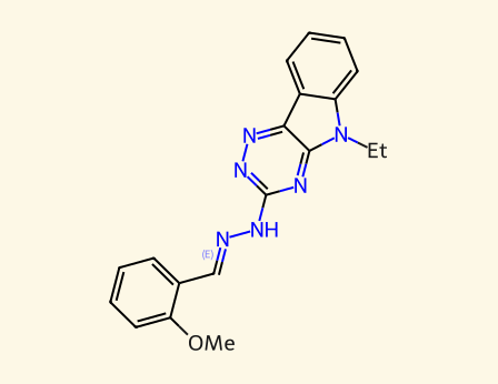 CCn1c2ccccc2c2nnc(N/N=C/c3ccccc3OC)nc21